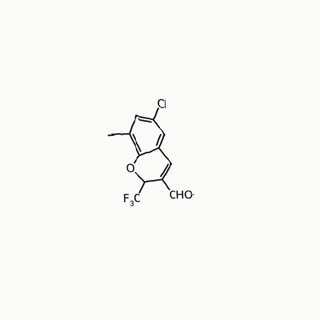 Cc1cc(Cl)cc2c1OC(C(F)(F)F)C([C]=O)=C2